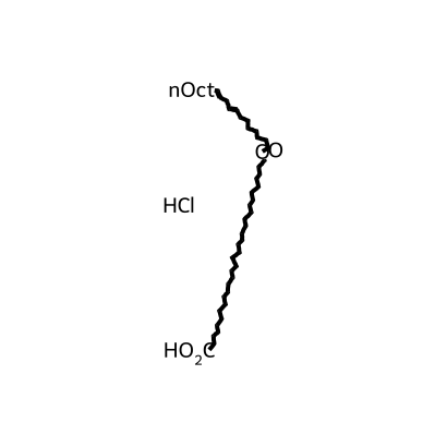 CCCCCCCCC=CCC=CCCCCCCC(=O)OCCCCCCCCCCCCCCCCCCCCCCCCCCCCCC(=O)O.Cl